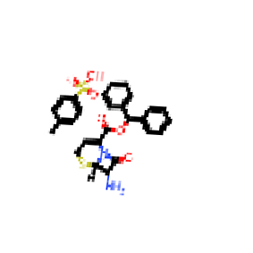 Cc1ccc(S(=O)(=O)O)cc1.N[C@@H]1C(=O)N2C(C(=O)OC(c3ccccc3)c3ccccc3)=CCS[C@@H]12